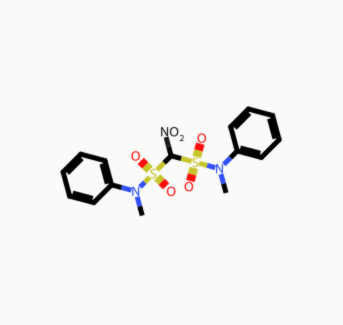 CN(c1ccccc1)S(=O)(=O)C([N+](=O)[O-])S(=O)(=O)N(C)c1ccccc1